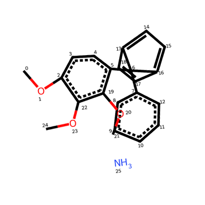 COc1ccc(C2(c3ccccc3)C3=CC=C2C=C3)c(OC)c1OC.N